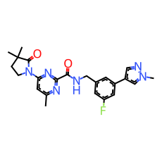 Cc1cc(N2CCC(C)(C)C2=O)nc(C(=O)NCc2cc(F)cc(-c3cnn(C)c3)c2)n1